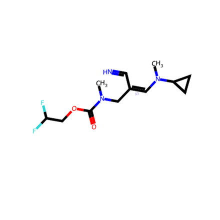 CN(C/C(C=N)=C/N(C)C1CC1)C(=O)OCC(F)F